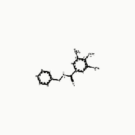 CC(=O)Oc1cc(C(=O)NCc2ccccc2)cc([N+](=O)[O-])c1OC(C)=O